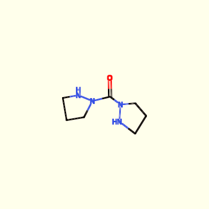 O=C(N1CCCN1)N1CCCN1